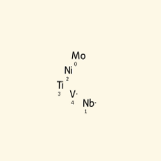 [Mo].[Nb].[Ni].[Ti].[V]